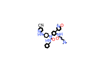 CN(C)C/C=C/C(=O)Nc1cc(N(C(=O)NCc2ccccc2)C2CCC(Nc3ccc(C#N)cn3)CC2)ccc1-c1ccc(=O)n(C)c1